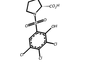 O=C(O)[C@H]1CCCN1S(=O)(=O)c1cc(Cl)c(Cl)c(Cl)c1O